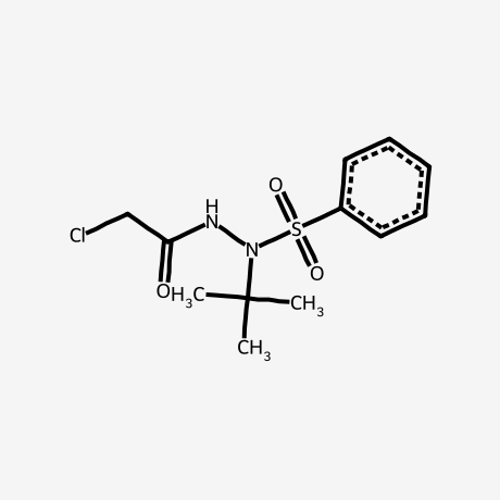 CC(C)(C)N(NC(=O)CCl)S(=O)(=O)c1ccccc1